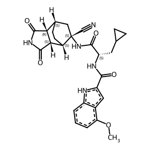 COc1cccc2[nH]c(C(=O)N[C@@H](CC3CC3)C(=O)N[C@@]3(C#N)C[C@@H]4CC[C@H]3[C@@H]3C(=O)NC(=O)[C@H]43)cc12